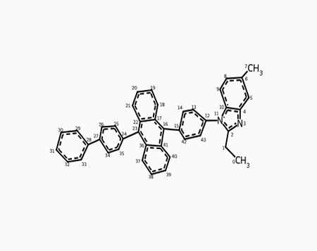 CCc1nc2cc(C)ccc2n1-c1ccc(-c2c3ccccc3c(-c3ccc(-c4ccccc4)cc3)c3ccccc23)cc1